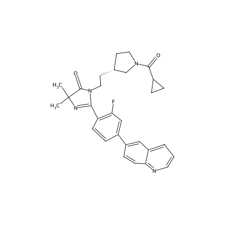 CC1(C)N=C(c2ccc(-c3ccc4ncccc4c3)cc2F)N(CC[C@@H]2CCN(C(=O)C3CC3)C2)C1=O